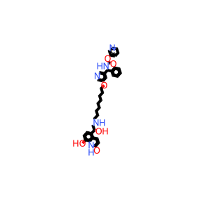 O=C(NC(c1ccccc1)c1cncc(OCCCCCCCCCNCC(O)c2ccc(O)c3[nH]c(=O)ccc23)c1)OC1CN2CCC1CC2